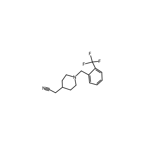 N#CCC1CCN(Cc2ccccc2C(F)(F)F)CC1